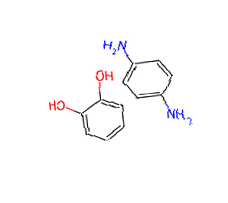 Nc1ccc(N)cc1.Oc1ccccc1O